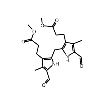 COC(=O)CCc1c(Cc2[nH]c(C=O)c(C)c2CCC(=O)OC)[nH]c(C=O)c1C